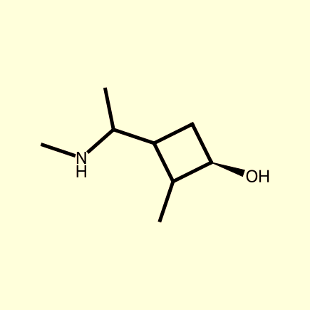 CNC(C)C1C[C@@H](O)C1C